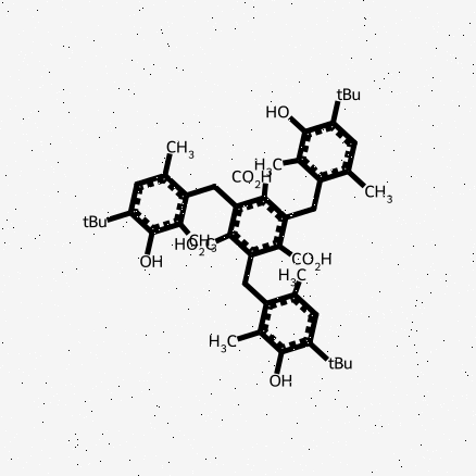 Cc1cc(C(C)(C)C)c(O)c(C)c1Cc1c(C(=O)O)c(Cc2c(C)cc(C(C)(C)C)c(O)c2C)c(C(=O)O)c(Cc2c(C)cc(C(C)(C)C)c(O)c2C)c1C(=O)O